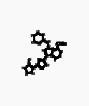 COc1cccc2c(-c3noc(C4CCCN4C)n3)cn(CC3CCCCC3)c12